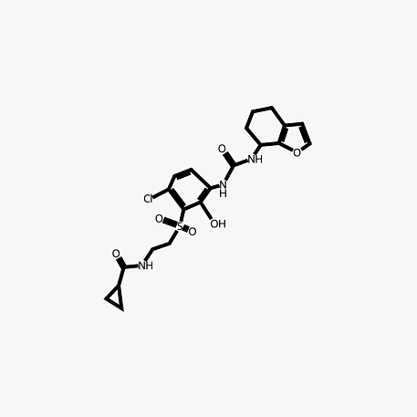 O=C(Nc1ccc(Cl)c(S(=O)(=O)CCNC(=O)C2CC2)c1O)NC1CCCc2ccoc21